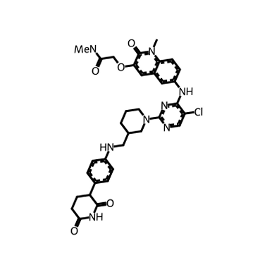 CNC(=O)COc1cc2cc(Nc3nc(N4CCCC(CNc5ccc(C6CCC(=O)NC6=O)cc5)C4)ncc3Cl)ccc2n(C)c1=O